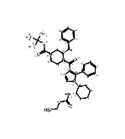 CCOC(=O)N[C@H]1CCCC[C@@H]1n1cnc(C(=O)N2CCN(C(=O)OC(C)(C)C)C[C@H]2Cc2ccccc2)c1-c1ccccc1